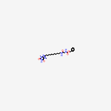 Cn1c(CCCCCCCCCCCNC(=O)CNC(=O)OCc2ccccc2)nc2c1c(=O)[nH]c(=O)n2C